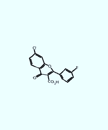 O=C(O)c1c(-c2cccc(F)c2)oc2cc(Cl)ccc2c1=O